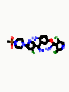 CS(=O)(=O)N1CCN(c2cc(F)c(C(=N)c3cc(O[C@H](N)c4c(Cl)cncc4Cl)ccc3N)cn2)CC1